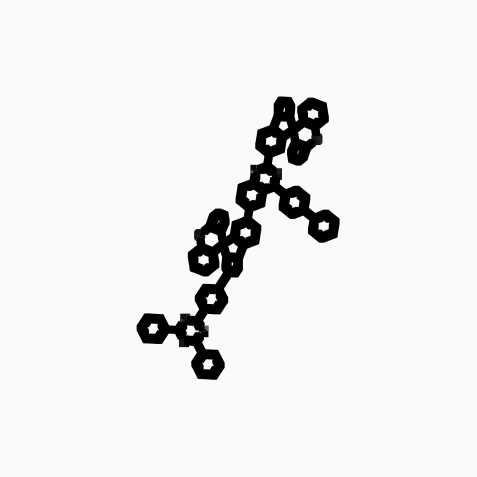 c1ccc(-c2ccc(-c3nc(-c4ccc5c(c4)C4(c6ccccc6Oc6ccccc64)c4ccccc4-5)nc4ccc(-c5ccc6c(c5)C5(c7ccccc7Oc7ccccc75)c5cc(-c7ccc(-c8nc(-c9ccccc9)nc(-c9ccccc9)n8)cc7)ccc5-6)cc34)cc2)cc1